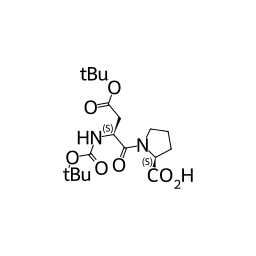 CC(C)(C)OC(=O)C[C@H](NC(=O)OC(C)(C)C)C(=O)N1CCC[C@H]1C(=O)O